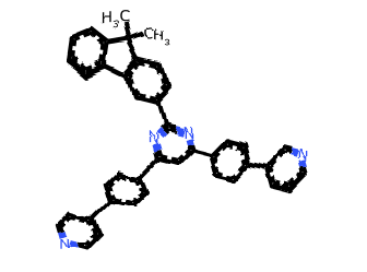 CC1(C)c2ccccc2-c2cc(-c3nc(-c4ccc(-c5ccncc5)cc4)cc(-c4ccc(-c5cccnc5)cc4)n3)ccc21